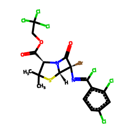 CC1(C)S[C@H]2N(C(=O)[C@@]2(Br)N=C(Cl)c2ccc(Cl)cc2Cl)[C@H]1C(=O)OCC(Cl)(Cl)Cl